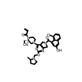 C=CC(=O)N1CCN(c2nc(OCN3CCCC3C)nc3c2CN(C(=O)c2cc(O)cc4cccc(Cl)c24)C3)C[C@@H]1CC#N